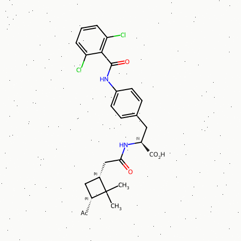 CC(=O)[C@@H]1C[C@H](CC(=O)N[C@@H](Cc2ccc(NC(=O)c3c(Cl)cccc3Cl)cc2)C(=O)O)C1(C)C